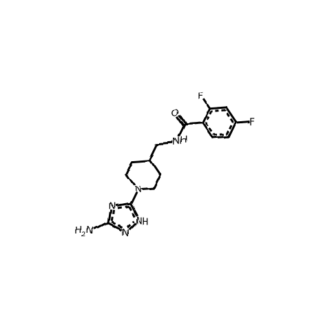 Nc1n[nH]c(N2CCC(CNC(=O)c3ccc(F)cc3F)CC2)n1